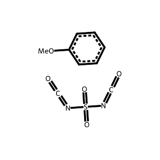 COc1ccccc1.O=C=NS(=O)(=O)N=C=O